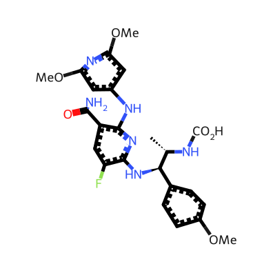 COc1ccc([C@@H](Nc2nc(Nc3cc(OC)nc(OC)c3)c(C(N)=O)cc2F)[C@H](C)NC(=O)O)cc1